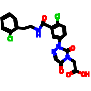 O=C(O)Cn1c(=O)cnn(-c2ccc(Cl)c(C(=O)NCCc3ccccc3Cl)c2)c1=O